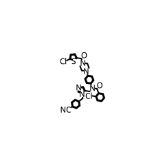 N#Cc1ccc(Cn2cncc2CN(C(=O)c2ccccc2Cl)c2ccc(N3CCN(C(=O)c4ccc(Cl)s4)CC3)cc2)cc1